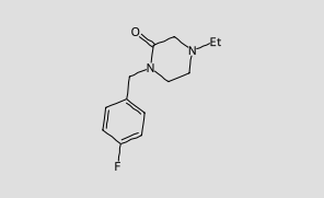 CCN1CCN(Cc2ccc(F)cc2)C(=O)C1